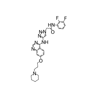 O=C(Cn1cc(Nc2ncnc3cc(OCCCN4CCCCC4)ccc23)nn1)Nc1cccc(F)c1F